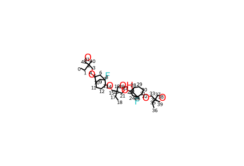 CCC1(COC2CC3(F)CC2CCC3OCC(CC)(CO)COC2CC3(F)CC2CCC3OCC2(CC)COC2)COC1